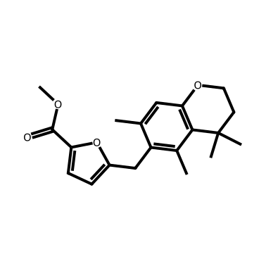 COC(=O)c1ccc(Cc2c(C)cc3c(c2C)C(C)(C)CCO3)o1